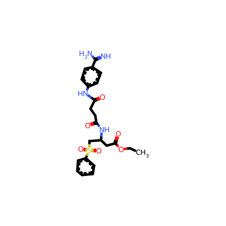 CCOC(=O)CC(CS(=O)(=O)c1ccccc1)NC(=O)CCC(=O)Nc1ccc(C(=N)N)cc1